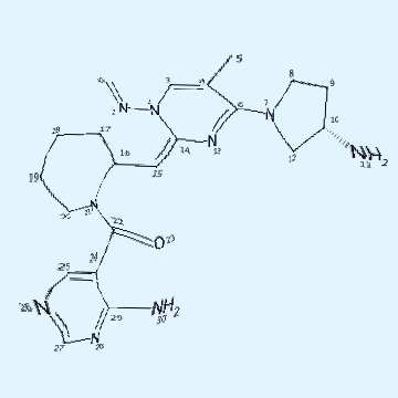 C=NN1C=C(C)C(N2CC[C@H](N)C2)=N/C1=C/C1CCCCN1C(=O)c1cncnc1N